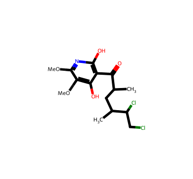 COc1nc(O)c(C(=O)C(C)CC(C)C(Cl)CCl)c(O)c1OC